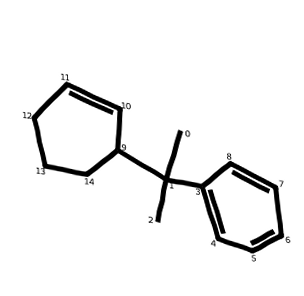 CC(C)(c1ccccc1)C1C=CCCC1